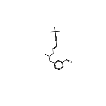 CN(CC=CC#CC(C)(C)C)Cc1cc(C=O)ccn1